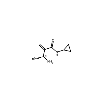 C=C(C(=O)NC1CC1)[C@@H](N)CCC